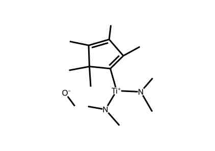 CC1=C(C)C(C)(C)[C]([Ti+]([N](C)C)[N](C)C)=C1C.C[O-]